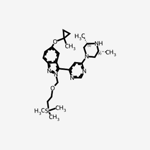 C[C@@H]1CN(c2cc(-c3c4cc(OC5(C)CC5)ccc4nn3COCC[Si](C)(C)C)ncn2)C[C@H](C)N1